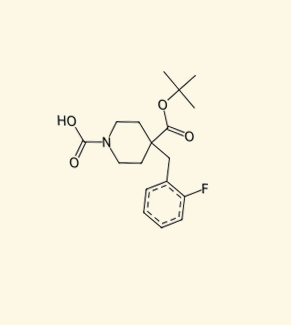 CC(C)(C)OC(=O)C1(Cc2ccccc2F)CCN(C(=O)O)CC1